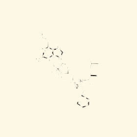 CCOc1nc(N)nc2c1ncn2[C@@H]1O[C@H](CO[P@](=O)(N[C@@H](C)C(=O)OC(C)C)Oc2ccccc2)[C@@H](O)[C@@]1(C)Cl